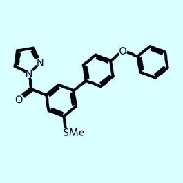 CSc1cc(C(=O)n2cccn2)cc(-c2ccc(Oc3ccccc3)cc2)c1